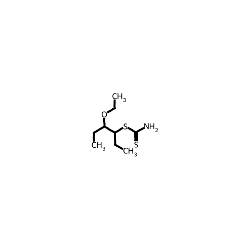 CCOC(CC)C(CC)SC(N)=S